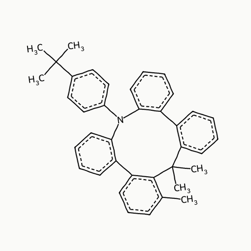 Cc1cccc2c1C(C)(C)c1ccccc1-c1ccccc1N(c1ccc(C(C)(C)C)cc1)c1ccccc1-2